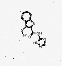 CC(C)Sc1c(C(=O)Nc2nnn[nH]2)sc2ccccc12